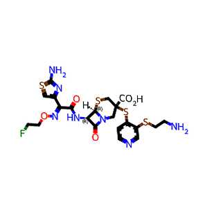 NCCSc1cnccc1SC1(C(=O)O)CS[C@@H]2[C@H](NC(=O)C(=NOCCF)c3csc(N)n3)C(=O)N2C1